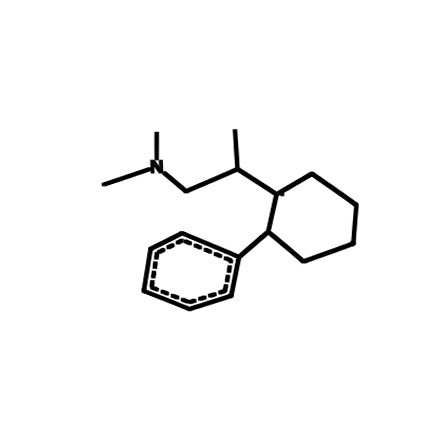 CC(CN(C)C)[C]1CCCCC1c1ccccc1